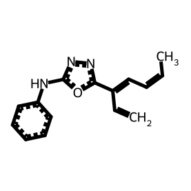 C=C/C(=C\C=C/C)c1nnc(Nc2ccccc2)o1